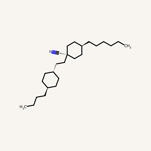 CCCCCC[C@H]1CC[C@@](C#N)(CC[C@H]2CC[C@H](CCCC)CC2)CC1